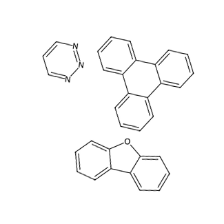 c1ccc2c(c1)c1ccccc1c1ccccc21.c1ccc2c(c1)oc1ccccc12.c1cnnnc1